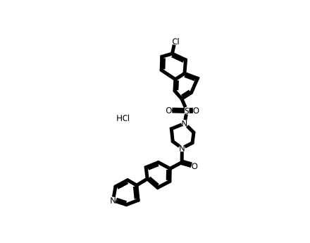 Cl.O=C(c1ccc(-c2ccncc2)cc1)N1CCN(S(=O)(=O)c2ccc3cc(Cl)ccc3c2)CC1